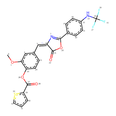 COc1cc(/C=C2/N=C(c3ccc(NC(F)(F)F)cc3)OC2=O)ccc1OC(=O)c1cccs1